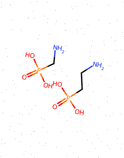 NCCP(=O)(O)O.NCP(=O)(O)O